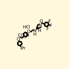 CC(C)c1ccc(O[C@@H](Cc2ccc(OCCN[C@H]3C4CN(C(=O)c5cc(F)c(F)c(F)c5)C[C@@H]43)cc2)C(=O)O)cc1.Cl